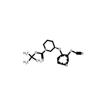 CC(C)(C)OC(=O)N1CCC[C@@H](Oc2ccncc2SC#N)C1